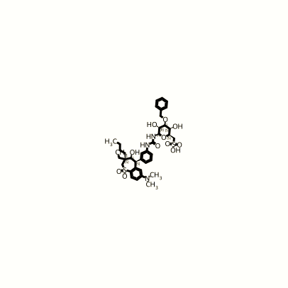 CCCC[C@]1(CC)CS(=O)(=O)c2ccc(N(C)C)cc2[C@H](c2cccc(NC(=O)N[C@@H]3O[C@H](CS(=O)(=O)O)[C@@H](O)[C@H](OCc4ccccc4)[C@H]3O)c2)[C@@H]1O